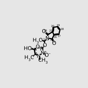 CC(O/N=[N+](\[O-])N(C)[C@@H](C)C(=O)O)N1C(=O)c2ccccc2C1=O